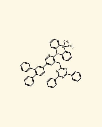 C[Si]1(C)c2ccccc2N(c2ncc(-c3ccc(-c4ccccc4)c(-c4ccccc4)c3)cc2Cc2nc(-c3ccccc3)nc(-c3ccccc3)n2)c2ccccc21